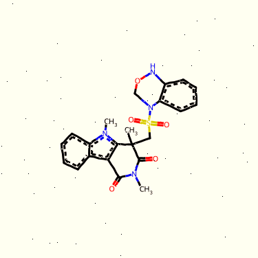 CN1C(=O)c2c(n(C)c3ccccc23)C(C)(CS(=O)(=O)N2CONc3ccccc32)C1=O